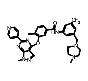 Cc1ccc(C(=O)Nc2cc(CN3CCN(C)CC3)cc(C(F)(F)F)c2)cc1Oc1nc(-c2ccncc2)nc2c1cnn2C